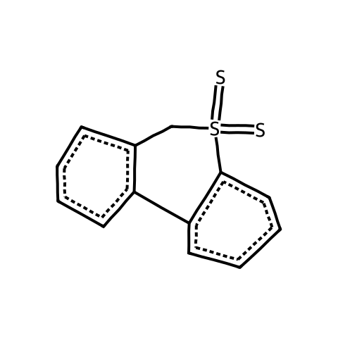 S=S1(=S)Cc2ccccc2-c2ccccc21